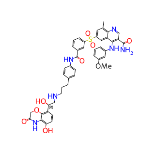 COc1cccc(Nc2c(C(N)=O)cnc3c(C)cc(S(=O)(=O)c4cccc(C(=O)Nc5ccc(CCCNC[C@H](O)c6ccc(O)c7c6OCC(=O)N7)cc5)c4)cc23)c1